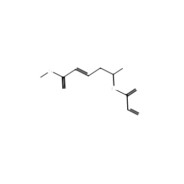 C=CC(=O)NC(C)C/C=C/C(=O)NCC